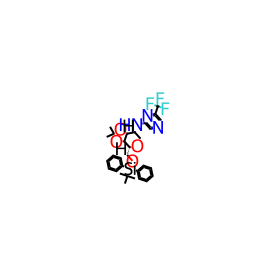 CC1(C)O[C@@H]2[C@H](O1)[C@@H](Nc1cncc(C(F)(F)F)n1)CO[C@@H]2CO[Si](c1ccccc1)(c1ccccc1)C(C)(C)C